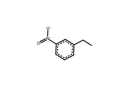 CCc1c[c]cc([N+](=O)[O-])c1